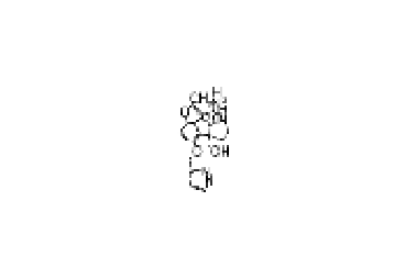 Cc1oc2ccc(OCc3cccnn3)c(C3(CO)CCNC3=O)c2c1C(N)=O